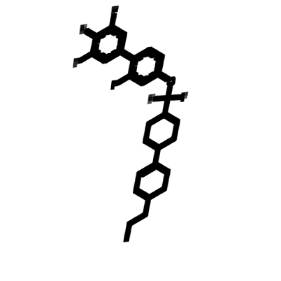 CCCC1CC=C(C2CCC(C(F)(F)Oc3ccc(-c4cc(F)c(F)c(F)c4)c(F)c3)CC2)CC1